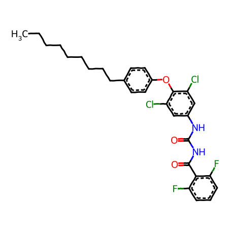 CCCCCCCCCc1ccc(Oc2c(Cl)cc(NC(=O)NC(=O)c3c(F)cccc3F)cc2Cl)cc1